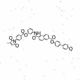 COc1ccc(-c2ccc(OC(=O)c3ccc4cc(C(=O)Nc5cccc(OC(=O)c6ccc(N7C(=O)C=C(C)C7=O)cc6)c5)ccc4c3)cc2)cc1